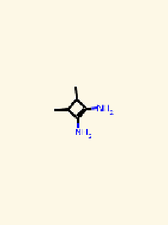 CC1C(N)=C(N)C1C